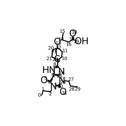 CCCn1c(=O)c2[nH]c(C34CCC(OC(C)CC(=O)O)(CC3)CC4)nc2n(CCC)c1=O